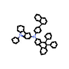 c1ccc(-c2c(-c3ccccc3)c3cc(N(c4ccc(-c5cccc6ccccc56)cc4)c4ccc5c(c4)c4ccccc4n5-c4ccccc4)ccc3c3ccccc23)cc1